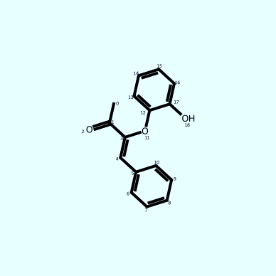 CC(=O)C(=Cc1ccccc1)Oc1ccccc1O